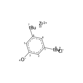 CC(C)(C)c1cc([O-])cc(C(C)(C)C)c1.[Cl-].[Zr+2]